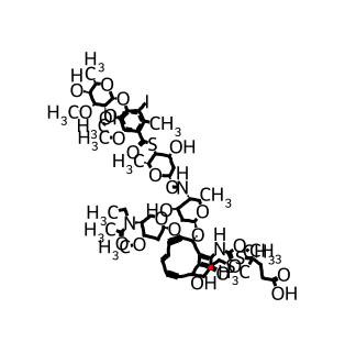 CCN(C(C)=O)[C@H]1CO[C@@H](O[C@H]2[C@H](O[C@H]3C#C/C=C/C#C[C@]4(O)CC(=O)C(NC(=O)OC)=C3/C4=C\CSSC(C)(C)CCC(=O)O)O[C@H](C)[C@@H](NO[C@H]3C[C@H](O)[C@H](SC(=O)c4c(C)c(I)c(O[C@@H]5O[C@@H](C)[C@H](O)[C@@H](OC)[C@H]5O)c(OC)c4OC)[C@@H](C)O3)[C@@H]2O)C[C@@H]1OC